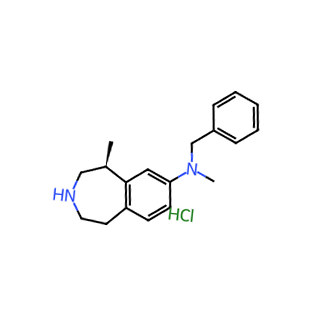 C[C@@H]1CNCCc2ccc(N(C)Cc3ccccc3)cc21.Cl